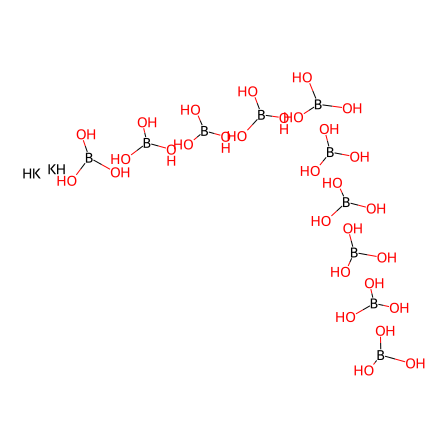 OB(O)O.OB(O)O.OB(O)O.OB(O)O.OB(O)O.OB(O)O.OB(O)O.OB(O)O.OB(O)O.OB(O)O.[KH].[KH]